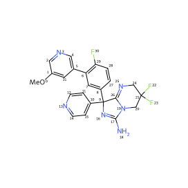 COc1cncc(-c2cc(C3(c4ccncc4)N=C(N)N4CC(F)(F)CN=C43)ccc2F)c1